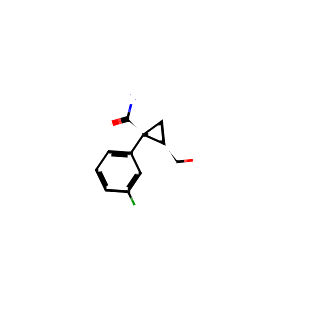 NC(=O)[C@@]1(c2cccc(Br)c2)C[C@H]1CO